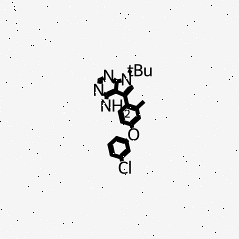 Cc1cc(Oc2cccc(Cl)c2)ccc1-c1cn(C(C)(C)C)c2ncnc(N)c12